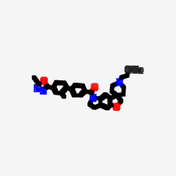 COCCN1CCC2(CC1)COc1cc3c(cc12)N(C(=O)c1ccc(-c2ccc(-c4nnc(C)o4)cc2C)cc1)CC3